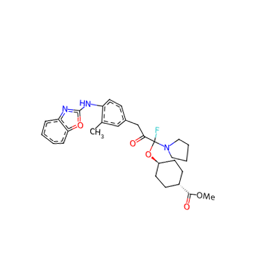 COC(=O)[C@H]1CC[C@H](OC(F)(C(=O)Cc2ccc(Nc3nc4ccccc4o3)c(C)c2)N2CCCC2)CC1